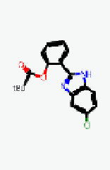 CC(C)(C)C(=O)Oc1ccccc1-c1nc2cc(Cl)ccc2[nH]1